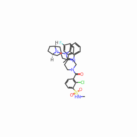 CNS(=O)(=O)c1cccc(C(=O)N2CCC(CCN3[C@@H]4CC[C@H]3CC(n3c(C)nc5ccccc53)C4)(c3cccc(F)c3)CC2)c1Cl